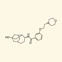 O=C(N[C@H]1CCC2CC3CC(O)(C2)CC31)c1cccc(OCCN2CCOCC2)c1